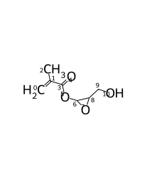 C=C(C)C(=O)OC1OC1CO